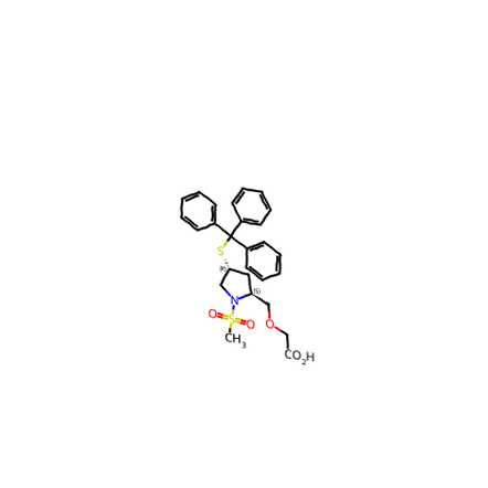 CS(=O)(=O)N1C[C@H](SC(c2ccccc2)(c2ccccc2)c2ccccc2)C[C@H]1COCC(=O)O